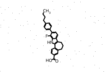 CCCCc1ccc(-c2ccc3c4c([nH]c3c2F)-c2ccc(C(=O)O)cc2CCC4)cc1